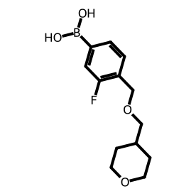 OB(O)c1ccc(COCC2CCOCC2)c(F)c1